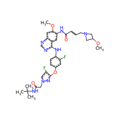 COc1cc2ncnc(Nc3ccc(Oc4nn(CC(=O)NC(C)(C)C)cc4F)cc3F)c2cc1NC(=O)/C=C/CN1CC(OC)C1